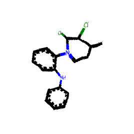 CC1CCN(c2ccccc2Nc2ccccc2)C(Cl)C1Cl